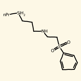 CCC[SiH2]CCCNCCS(=O)(=O)c1ccccc1